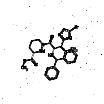 COC(=O)[C@@H]1CCCN(C(=O)[C@@H](NC(c2ccccc2)c2ccccc2)[C@H](OC)c2nc(Br)cs2)N1